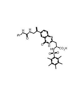 C=C(CNC(=O)NC(C)C)c1ccc2nc(C[C@H](NS(=O)(=O)c3c(C)c(C)c(C)c(C)c3C)C(=O)O)[nH]c(=O)c2c1